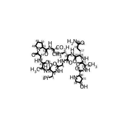 CC(C)C[C@H](NC(=O)CNC(=O)[C@H](CC(C)C)NC(=O)[C@H](CCC(N)=O)NC(=O)[C@H](C)NC(=O)[C@H]1C[C@H](O)CN1)C(=O)N[C@@H](C)C(=O)NCC(=O)N1CCCC1C(=O)N[C@@H](C)C(=O)O